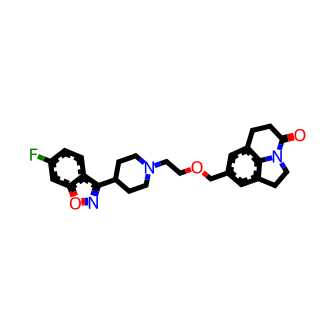 O=C1CCc2cc(COCCN3CCC(c4noc5cc(F)ccc45)CC3)cc3c2N1CC3